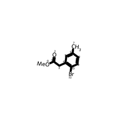 COC(=O)Cc1cc(C)ccc1Br